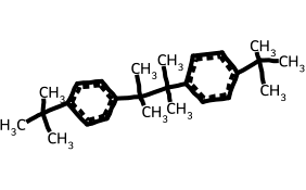 CC(C)(C)c1ccc(C(C)(C)C(C)(C)c2ccc(C(C)(C)C)cc2)cc1